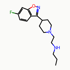 CCCNCCN1CCC(c2noc3cc(F)ccc23)CC1